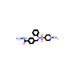 CN1CCC(S(=O)(=O)N(Cc2ccc(C(=O)NN)cc2)c2ccccc2)CC1